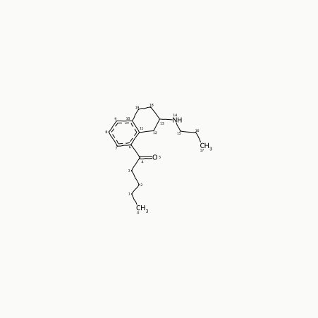 CCCCC(=O)c1cccc2c1CC(NCCC)CC2